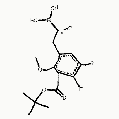 COc1c(C[C@@H](Cl)B(O)O)cc(F)c(F)c1C(=O)OC(C)(C)C